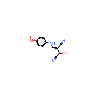 COc1ccc(N/C=C(\C#N)C(O)C#N)cc1